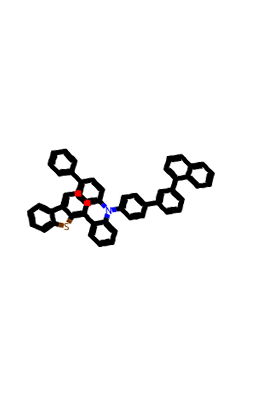 c1ccc(-c2ccc(N(c3ccc(-c4cccc(-c5cccc6ccccc56)c4)cc3)c3ccccc3-c3cccc4c3sc3ccccc34)cc2)cc1